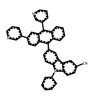 N#Cc1ccc2c(c1)c1cc(-c3c4ccccc4c(-c4cccnc4)c4cc(-c5cccnc5)ccc34)ccc1n2-c1ccccc1